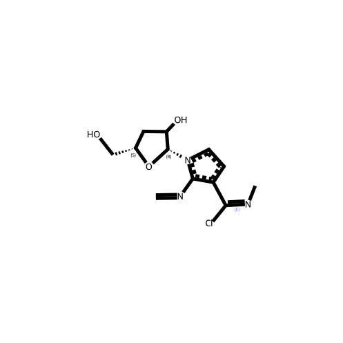 C=Nc1c(/C(Cl)=N\C)ccn1[C@@H]1O[C@H](CO)CC1O